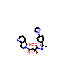 C[C@@H](NC(=O)[C@](C)(O)[C@@H](O)C(=O)N1CCc2ncccc2C1)c1ccc(-n2cccn2)cc1